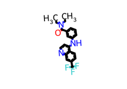 CCN(CC)C(=O)c1cccc(Nc2ccnc3cc(C(F)(F)F)ccc23)c1